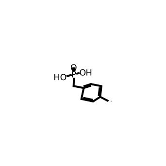 [CH2]c1ccc(CP(=O)(O)O)cc1